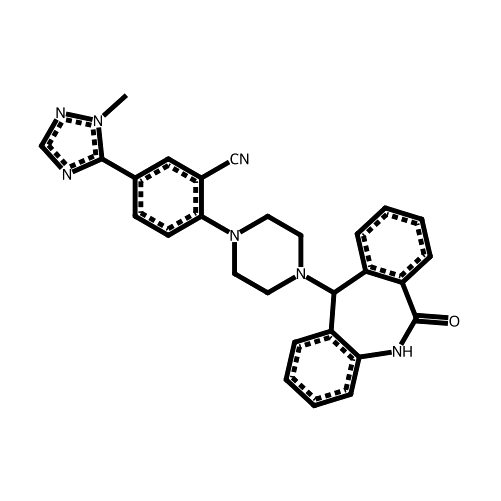 Cn1ncnc1-c1ccc(N2CCN(C3c4ccccc4NC(=O)c4ccccc43)CC2)c(C#N)c1